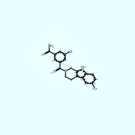 NC(=O)c1cc(Cl)cc(C(=O)N2CCc3c([nH]c4ccc(Cl)cc34)C2)c1